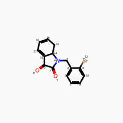 O=C1C(=O)N(Cc2ccccc2Br)C2CC=CC=C12